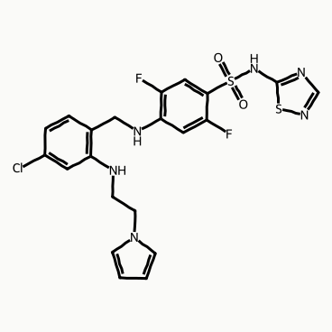 O=S(=O)(Nc1ncns1)c1cc(F)c(NCc2ccc(Cl)cc2NCCn2cccc2)cc1F